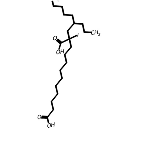 CCCCCC(CCC)CC(I)(CCCCCCCCCC(=O)O)C(=O)O